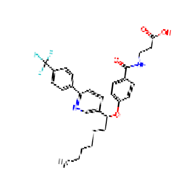 CCCCCCC(Oc1ccc(C(=O)NCCC(=O)O)cc1)c1ccc(-c2ccc(C(F)(F)F)cc2)nc1